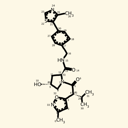 Cc1cc([C@H](C(=O)N2C[C@H](O)C[C@H]2C(=O)NCc2ccc(-c3scnc3C)cc2)C(C)C)on1